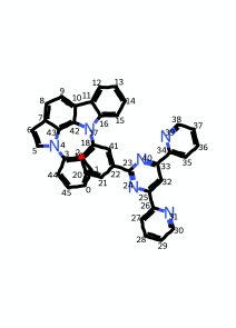 c1ccc(-n2ccc3ccc4c5ccccc5n(-c5cccc(-c6nc(-c7ccccn7)cc(-c7ccccn7)n6)c5)c4c32)cc1